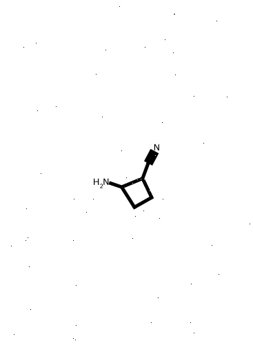 N#CC1CCC1N